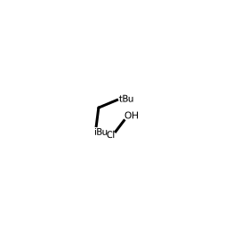 CCC(C)CC(C)(C)C.OCl